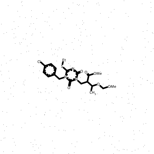 CCSc1nc(=O)n(CC(C(=O)OC)C(C)OCOC)c(=O)n1Cc1ccc(Cl)cc1